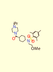 COCCN([C@H]1CC[C@H](C(=O)N2CCN(C(C)C)CC2)CC1)S(=O)(=O)c1c(C)cc(C)cc1C